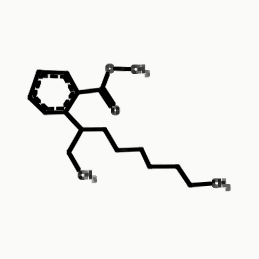 CCCCCCCC(CC)c1ccccc1C(=O)OC